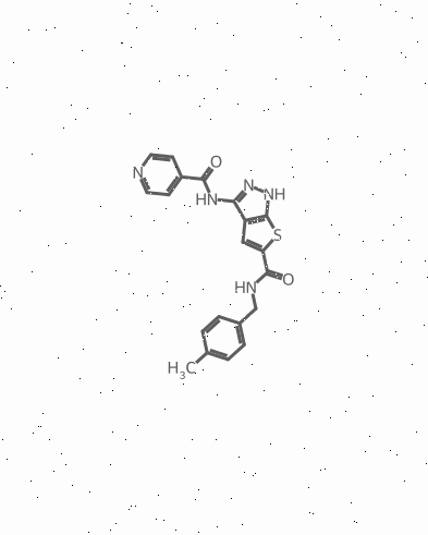 Cc1ccc(CNC(=O)c2cc3c(NC(=O)c4ccncc4)n[nH]c3s2)cc1